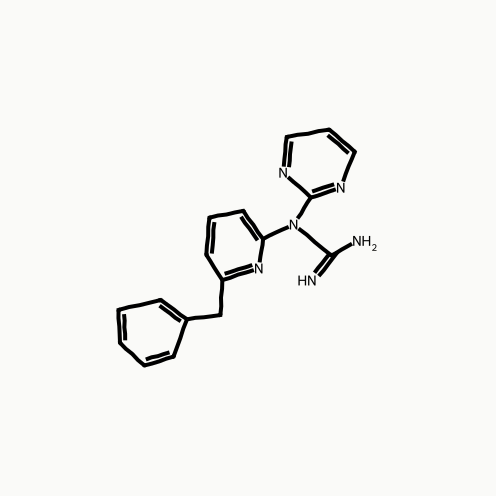 N=C(N)N(c1cccc(Cc2ccccc2)n1)c1ncccn1